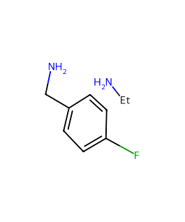 CCN.NCc1ccc(F)cc1